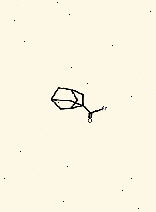 O=C(Br)C12CC3CC(CC1C3)C2